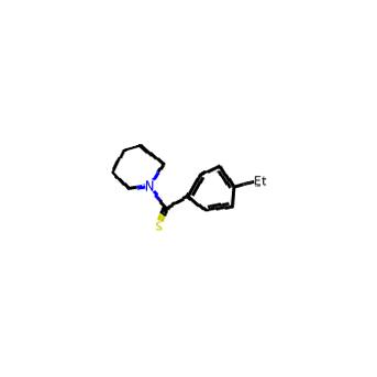 CCc1ccc(C(=S)N2CCCCC2)cc1